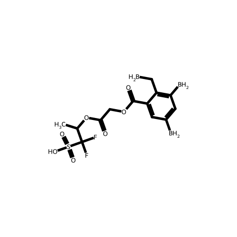 BCc1c(B)cc(B)cc1C(=O)OCC(=O)OC(C)C(F)(F)S(=O)(=O)O